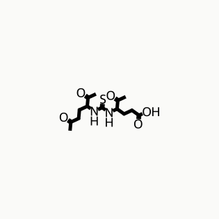 CC(=O)CCC(NC(=S)NC(CCC(=O)O)C(C)=O)C(C)=O